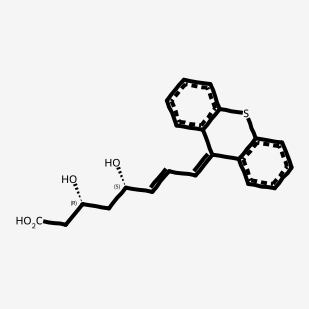 O=C(O)C[C@H](O)C[C@H](O)C=CC=C1c2ccccc2Sc2ccccc21